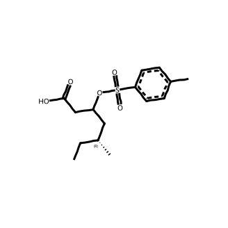 CC[C@@H](C)CC(CC(=O)O)OS(=O)(=O)c1ccc(C)cc1